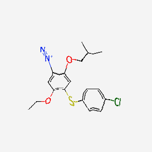 CCOc1cc([N+]#N)c(OCC(C)C)cc1Sc1ccc(Cl)cc1